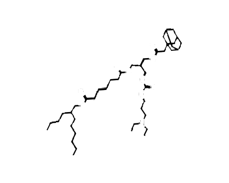 CCCCCCC(CCCC)COC(=O)CCCCCC(=O)OCC(COC(=O)CC12CC3CC(CC(C3)C1)C2)COC(=O)OCCCN(CC)CC